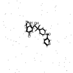 CC(C)(C1CCN(C(=O)c2cccnc2)CC1)C(O)c1cc(Cl)cc2cn[nH]c12